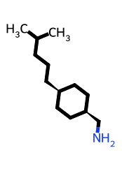 CC(C)CCC[C@H]1CC[C@@H](CN)CC1